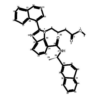 COC(=O)CCCn1c(-c2cncc3ccccc23)nc2cccc(C(=O)N[C@@H](C)c3ccc4ccccc4c3)c21